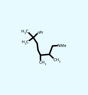 CCCC(C)(C)CCC(C)C(C)CNC